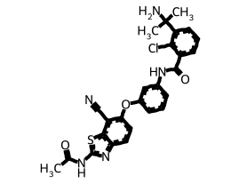 CC(=O)Nc1nc2ccc(Oc3cccc(NC(=O)c4cccc(C(C)(C)N)c4Cl)c3)c(C#N)c2s1